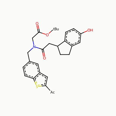 CC(=O)c1cc2cc(CN(CC(=O)OC(C)(C)C)C(=O)CC3CCc4cc(O)ccc43)ccc2s1